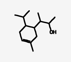 CC1=CCC(C(C)C)C(C(C)C(C)O)C1